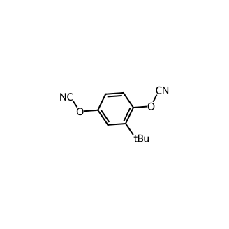 CC(C)(C)c1cc(OC#N)ccc1OC#N